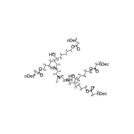 CCCCCCCCCCCC(=O)OCCCCCC(O)C(CCCCOC(=O)CCCCCCCCCCC)CNCCN(C)CCNCC(CCCCOC(=O)CCCCCCCCCCC)C(O)CCCCCOC(=O)CCCCCCCCCCC